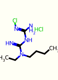 CCCCN(CC)C(=N)NC(N)=NCl.Cl